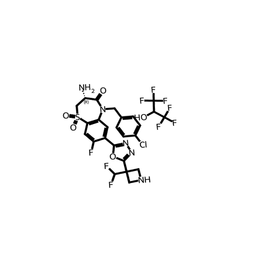 N[C@H]1CS(=O)(=O)c2cc(F)c(-c3nnc(C4(C(F)F)CNC4)o3)cc2N(Cc2ccc(Cl)cc2)C1=O.OC(C(F)(F)F)C(F)(F)F